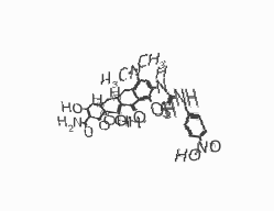 CN(C)c1cc(NC(=S)Nc2ccc([N+](=O)O)cc2)c(O)c2c1C[C@H]1C[C@H]3CC(O)=C(C(N)=O)C(=O)[C@@]3(O)C(O)=C1C2=O